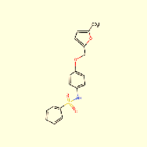 O=C(O)c1ccc(COc2ccc(NS(=O)(=O)c3ccccc3)cc2)o1